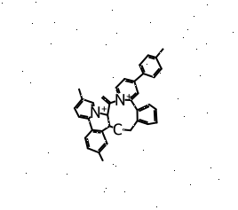 C=C1C2C(CCc3ccccc3-c3cc(-c4ccc(C)cc4)cc[n+]31)c1cc(C)ccc1-c1ccc(C)c[n+]12